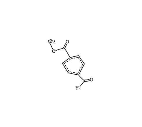 CCC(=O)c1ccc(C(=O)OC(C)(C)C)cc1